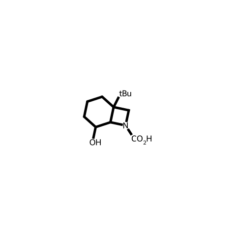 CC(C)(C)C12CCCC(O)C1N(C(=O)O)C2